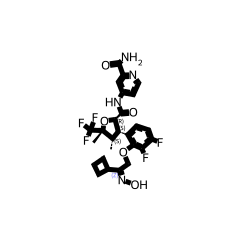 C[C@H]1[C@@H](c2ccc(F)c(F)c2OC/C(=N\O)C2CCC2)[C@H](C(=O)Nc2ccnc(C(N)=O)c2)O[C@@]1(C)C(F)(F)F